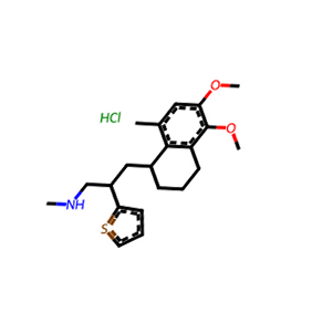 CNCC(CC1CCCc2c(OC)c(OC)cc(C)c21)c1cccs1.Cl